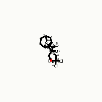 CCC(=O)C1=CCC2CCC1N(C(=O)OCC(Cl)(Cl)Cl)C2